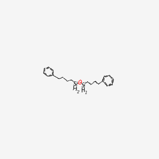 c1ccc(CCCC[SiH2]O[SiH2]CCCCc2ccccc2)cc1